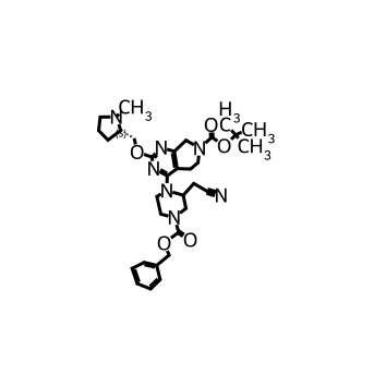 CN1CCC[C@H]1COc1nc2c(c(N3CCN(C(=O)OCc4ccccc4)CC3CC#N)n1)CCN(C(=O)OC(C)(C)C)C2